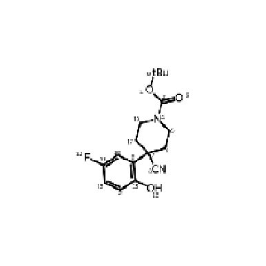 CC(C)(C)OC(=O)N1CCC(C#N)(c2cc(F)ccc2O)CC1